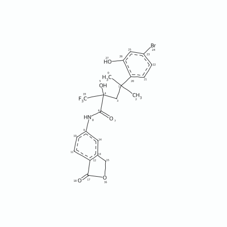 CC(C)(CC(O)(C(=O)Nc1ccc2c(c1)COC2=O)C(F)(F)F)c1ccc(Br)cc1O